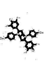 CCCCCCCCCCc1ccc(-n2c(-c3cc(F)c(F)c(F)c3)cc3c2cc(-c2cc(F)c(F)c(F)c2)n3-c2ccc(CCCCCCCCCC)cc2)cc1